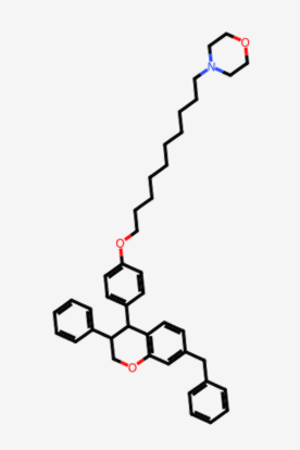 c1ccc(Cc2ccc3c(c2)OCC(c2ccccc2)C3c2ccc(OCCCCCCCCCCN3CCOCC3)cc2)cc1